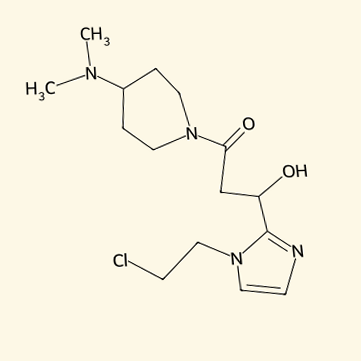 CN(C)C1CCN(C(=O)CC(O)c2nccn2CCCl)CC1